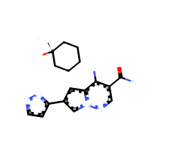 C[C@]1(O)CC[C@@H](Nc2c(C(N)=O)cnn3cc(-c4ccn[nH]4)cc23)CC1